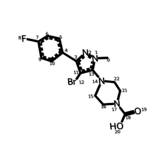 Cn1nc(-c2ccc(F)cc2)c(Br)c1N1CCN(C(=O)O)CC1